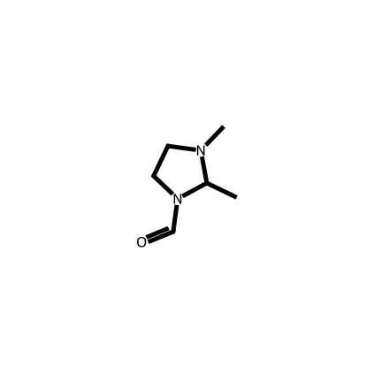 CC1N(C)CCN1C=O